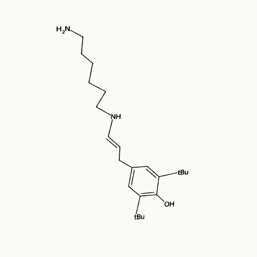 CC(C)(C)c1cc(CC=CNCCCCCCN)cc(C(C)(C)C)c1O